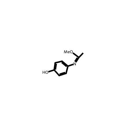 CO/C(C)=N\c1ccc(O)cc1